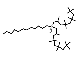 CCCCCCCCCCCCP(=O)(CC(C)CC(C)(C)CC(C)(C)CC(C)(C)C)CC(C)CC(C)(C)CC(C)(C)CC(C)(C)C